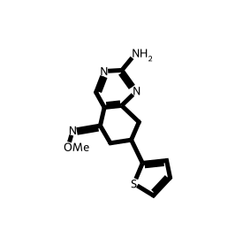 CON=C1CC(c2cccs2)Cc2nc(N)ncc21